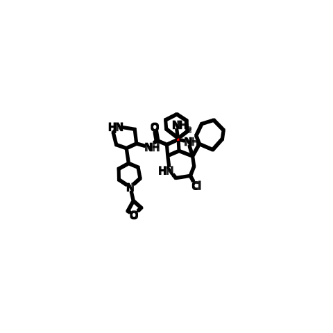 NC1NC2(C3CCCCCC3)CC(Cl)CNC(C1C(=O)NC1CNCCC1C1CCN(C3COC3)CC1)C2C1CCCCC1